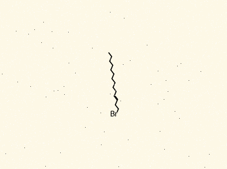 CCCCCCCCCCC=CCCBr